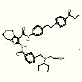 CCC(CC)N(CCO)Cc1cccc(C(=O)Nc2sc3c(c2C(=O)Nc2ccc(CCc4ccc(C(=O)OC)cc4)cc2)CCCC3)c1